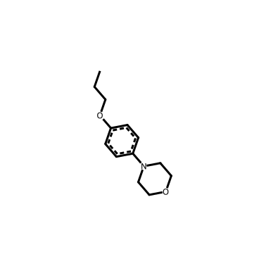 CCCOc1ccc(N2CCOCC2)cc1